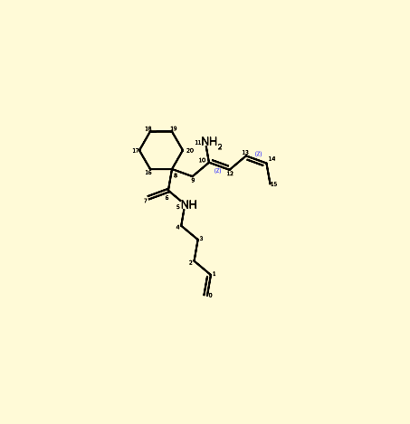 C=CCCCNC(=C)C1(C/C(N)=C/C=C\C)CCCCC1